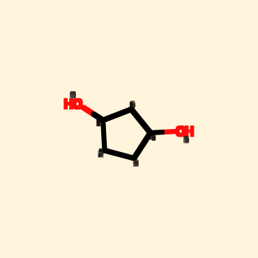 OC1[CH]CC(O)C1